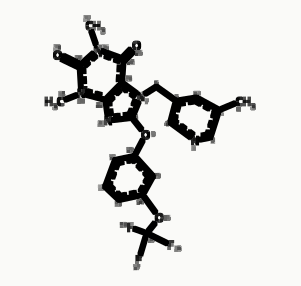 Cc1cncc(Cn2c(Oc3cccc(OC(F)(F)F)c3)nc3c2c(=O)n(C)c(=O)n3C)c1